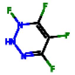 FC1=NNN(F)C(F)=C1F